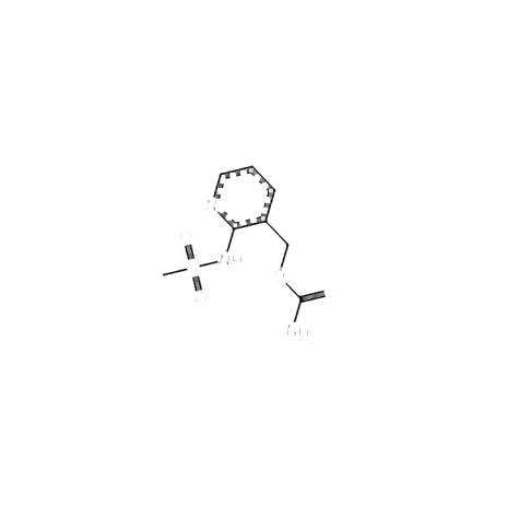 CS(=O)(=O)Nc1ncccc1COC(N)=O